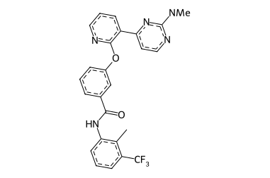 CNc1nccc(-c2cccnc2Oc2cccc(C(=O)Nc3cccc(C(F)(F)F)c3C)c2)n1